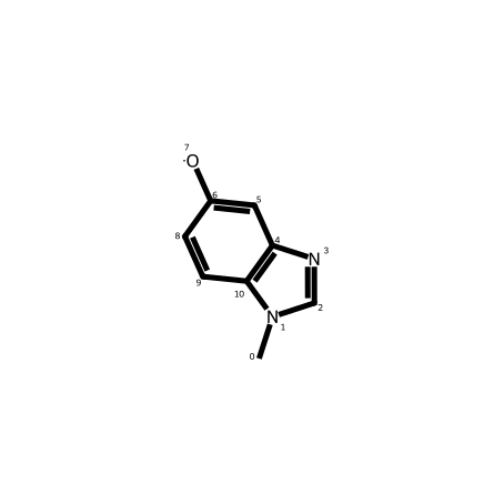 Cn1cnc2cc([O])ccc21